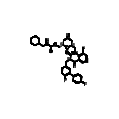 NC(=O)[C@H](Cc1ccc(F)c(-c2ccc(F)cc2)c1)Nc1cncc(F)c1CC[C@@H]1CNC[C@@H](COC(=O)NCC2CCCCC2)O1